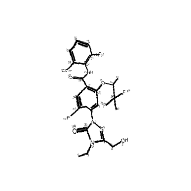 CCn1c(CO)nn(-c2cc(OC(C)C(C)(F)F)c(C(=O)Nc3c(F)cccc3Cl)cc2F)c1=O